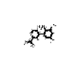 CC(C)c1cc(F)cc(-c2ccnc(C(N)=O)c2)c1N